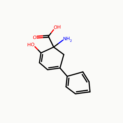 NC1(C(=O)O)CC(c2ccccc2)=CC=C1O